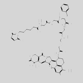 CC[C@@]1(O)C(=O)OCc2c1cc1n(c2=S)Cc2c-1nc1cc(F)c(C)c3c1c2C(NC(=O)COCNC(=O)CNC(=O)[C@H](Cc1ccccc1)NC(=O)CNC(=O)CNC(=O)CCCCCN1C(=O)C=CC1=O)CC3